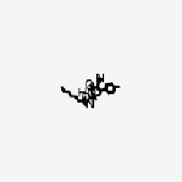 CCCCCCc1cnc(C2(C)CC(c3ccc(C)cc3)=C(C#N)C(=O)N2)o1